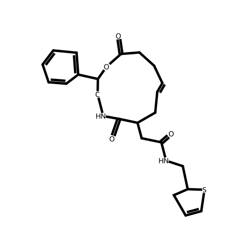 O=C(CC1C/C=C/CCC(=O)OC(c2ccccc2)CNC1=O)NCC1CC=CS1